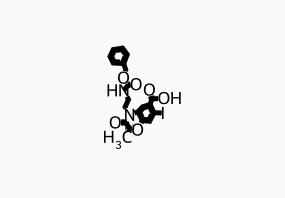 C[C@H]1Oc2cc(I)c(C(=O)O)cc2N(CCNC(=O)OCc2ccccc2)C1=O